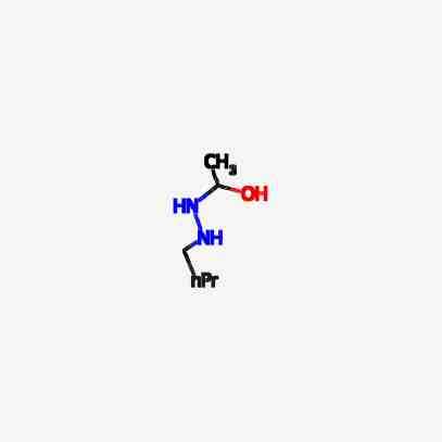 CCCCNNC(C)O